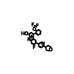 OC1CC(c2ccccc2OC(F)F)n2c1nc1cc(F)c(-c3ccc(C4CCOCC4)nc3)cc12